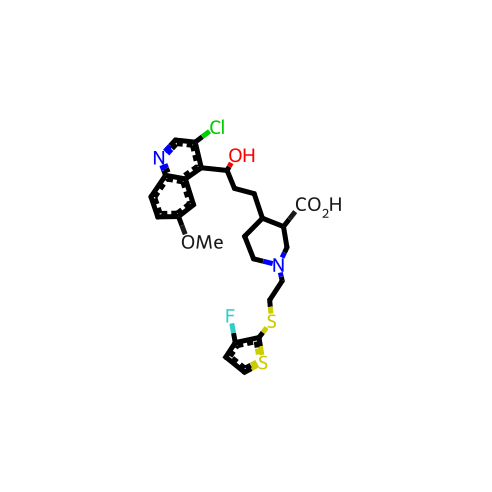 COc1ccc2ncc(Cl)c(C(O)CCC3CCN(CCSc4sccc4F)CC3C(=O)O)c2c1